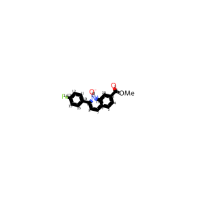 COC(=O)c1ccc2ccc(-c3ccc(F)cc3)[n+]([O-])c2c1